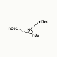 [CH2]CCCc1cc(CCCCCCCCCCCCCCC)nc(CCCCCCCCCCCCCCC)c1